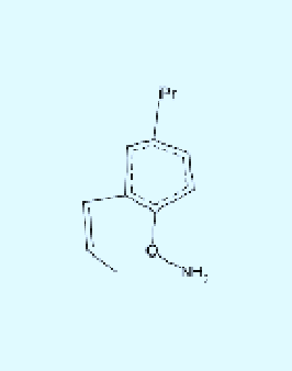 C/C=C\c1cc(C(C)C)ccc1ON